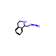 [N-]=[N+]=NCC1NCCc2ccccc21